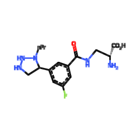 CCCN1NNCC1c1cc(F)cc(C(=O)NC[C@@H](N)C(=O)O)c1